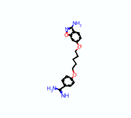 N=C(N)c1ccc(OCCCCCOc2ccc3c(N)noc3c2)cc1